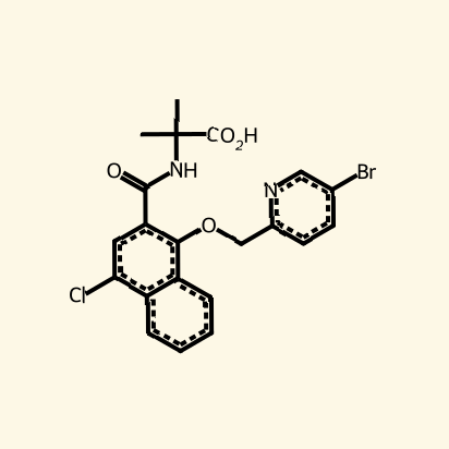 CC(C)(NC(=O)c1cc(Cl)c2ccccc2c1OCc1ccc(Br)cn1)C(=O)O